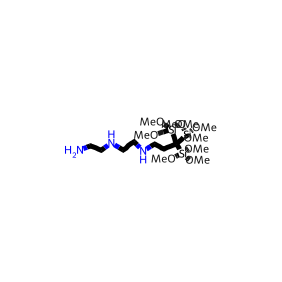 CO[Si](OC)(OC)C(CCNCCNCCN)([Si](OC)(OC)OC)[Si](OC)(OC)OC